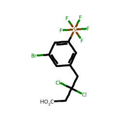 O=C(O)CC(Cl)(Cl)Cc1cc(Br)cc(S(F)(F)(F)(F)F)c1